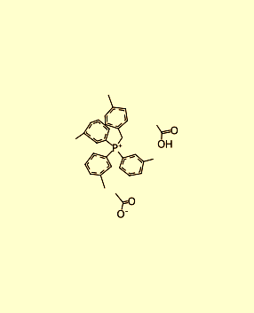 CC(=O)O.CC(=O)[O-].Cc1ccc(C[P+](c2cccc(C)c2)(c2cccc(C)c2)c2cccc(C)c2)cc1